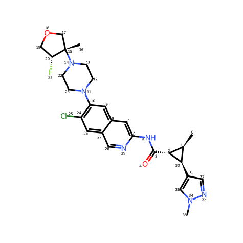 C[C@@H]1[C@@H](C(=O)Nc2cc3cc(N4CCN([C@@]5(C)COC[C@H]5F)CC4)c(Cl)cc3cn2)[C@@H]1c1cnn(C)c1